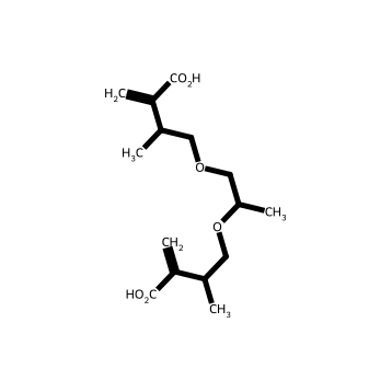 C=C(C(=O)O)C(C)COCC(C)OCC(C)C(=C)C(=O)O